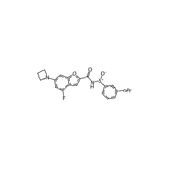 CCCc1cccc([S+]([O-])NC(=O)c2cc3c(F)cc(N4CCC4)cc3o2)c1